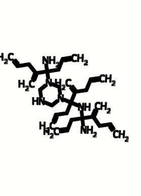 C=CCC(=C)C(N)(CC=C)NC(CC=C)(C(=C)CC=C)N1CNCN(C(N)(CC=C)C(=C)CC=C)C1